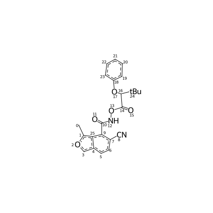 Cc1occ2ccc(C#N)c(C(=O)NOC(=O)C(Oc3ccccc3)C(C)(C)C)c12